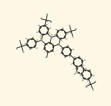 Cc1cc2c3c(c1)N(c1ccc(-c4ccc5c(c4)oc4cc(C(C)(C)C)ccc45)cc1)c1cc(C(C)(C)C)ccc1B3c1cc(C(C)(C)C)ccc1N2c1ccc(C(C)(C)C)cc1